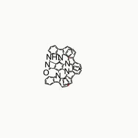 NC1=NC(=O)c2c1c(-n1c3ccccc3c3ccccc31)c(-n1c3ccccc3c3ccccc31)c(-n1c3ccccc3c3ccccc31)c2-n1c2ccccc2c2ccccc21